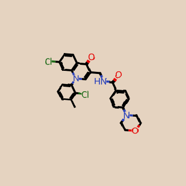 Cc1cccc(-n2cc(CNC(=O)c3ccc(N4CCOCC4)cc3)c(=O)c3ccc(Cl)cc32)c1Cl